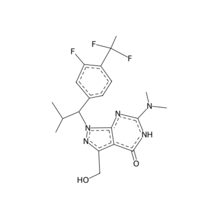 CC(C)C(c1ccc(C(C)(F)F)c(F)c1)n1nc(CO)c2c(=O)[nH]c(N(C)C)nc21